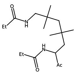 CCC(=O)NCC(C)(C)CC(C)(C)CC(NC(=O)CC)C(C)=O